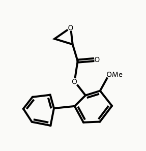 COc1cccc(-c2ccccc2)c1OC(=O)C1CO1